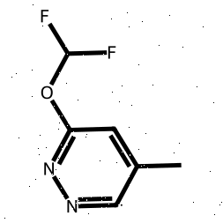 Cc1[c]nnc(OC(F)F)c1